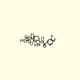 N=C(NC(=O)c1ccc(F)c(F)c1)[C@@H]1CC[C@@H]2CN1C(=O)N2OS(=O)(=O)O